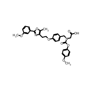 COc1ccc(OC(=O)N(CC(=O)O)Cc2ccc(OCCc3nc(-c4cccc(OC)c4)oc3C)cc2)cc1